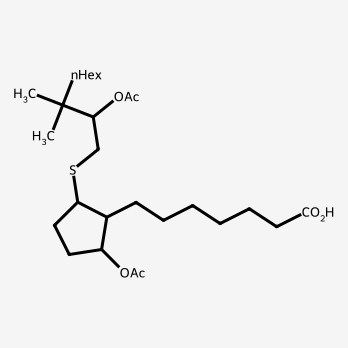 CCCCCCC(C)(C)C(CSC1CCC(OC(C)=O)C1CCCCCCC(=O)O)OC(C)=O